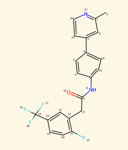 Cc1cc(-c2ccc(NC(=O)Cc3cc(C(F)(F)F)ccc3F)cc2)ccn1